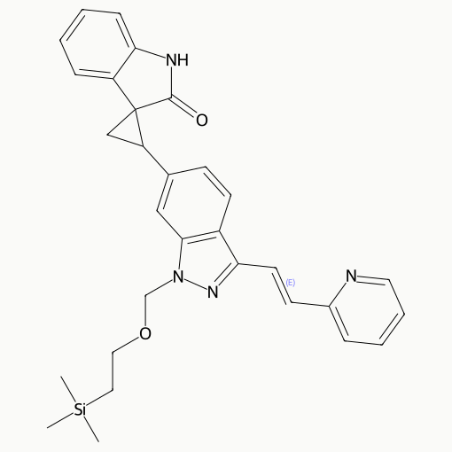 C[Si](C)(C)CCOCn1nc(/C=C/c2ccccn2)c2ccc(C3CC34C(=O)Nc3ccccc34)cc21